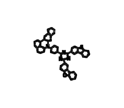 c1ccc2cc3c(cc2c1)-c1cccc2cccc(c12)N3c1ccc(-c2nc(-c3ccc4oc5ccccc5c4c3)nc(-c3ccc4sc5ccccc5c4c3)n2)cc1